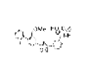 COCc1cc(-c2nc(-c3cccc(C(=O)NC4(C(=O)O)CC4)c3)no2)ccc1-c1ccccc1C